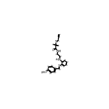 C#CCSC(C)(C)C(=O)NCCNc1ccccc1SCc1ccc(OC)cc1